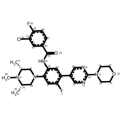 C[C@@H]1CN(c2cc(F)c(-c3cnc(N4CCOCC4)nc3)cc2NC(=O)c2ccc(F)c(Cl)c2)C[C@H](C)N1C